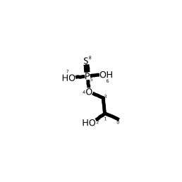 CC(O)COP(O)(O)=S